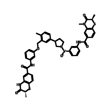 Cc1ccc(C2CCN([S+]([O-])c3cccc(NC(=O)c4ccc5c(c4)N(C)C(=O)[C@@H](C)S5)c3)C2)cc1COc1cccc(NC(=O)c2ccc3c(c2)NC(=O)[C@@H](C)S3)c1